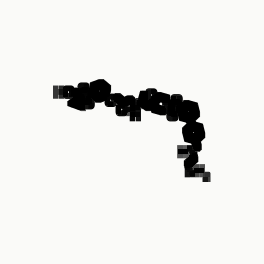 NCCNCc1ccc(-c2cccc(S(=O)(=O)N3CCC4(CC3)C[C@@H](NC[C@H](O)COc3cccc(S(=O)(=O)C5(CO)CC5)c3)CO4)c2)cc1